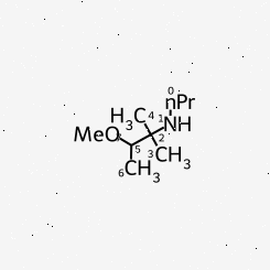 CCCNC(C)(C)C(C)OC